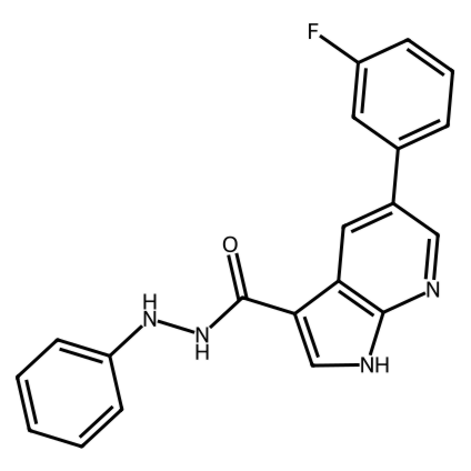 O=C(NNc1ccccc1)c1c[nH]c2ncc(-c3cccc(F)c3)cc12